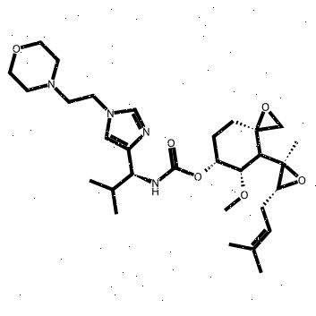 CO[C@H]1C([C@@]2(C)O[C@@H]2CC=C(C)C)[C@]2(CC[C@H]1OC(=O)N[C@H](c1cn(CCN3CCOCC3)cn1)C(C)C)CO2